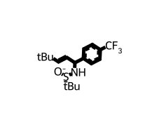 CC(C)(C)/C=C/C(N[S+]([O-])C(C)(C)C)c1ccc(C(F)(F)F)cc1